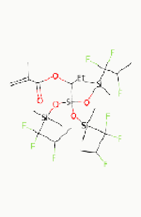 C=C(C)C(=O)OC(CC)[Si](O[Si](C)(C)C(F)(F)C(C)F)(O[Si](C)(C)C(F)(F)C(C)F)O[Si](C)(C)C(F)(F)C(C)F